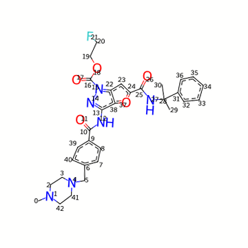 CN1CCN(Cc2ccc(C(=O)Nc3nn(C(=O)OCCF)c4cc(C(=O)NC(C)(C)c5ccccc5)oc34)cc2)CC1